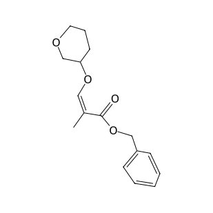 CC(=COC1CCCOC1)C(=O)OCc1ccccc1